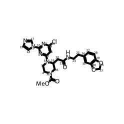 COC(=O)N1CCN(c2cc(Cl)nc(-n3ccnc3)n2)C(CC(=O)NCCc2ccc3c(c2)OCO3)C1